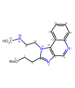 COCCc1nc2cnc3ccccc3c2n1CCNC(=O)O